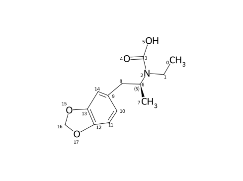 CCN(C(=O)O)[C@@H](C)Cc1ccc2c(c1)OCO2